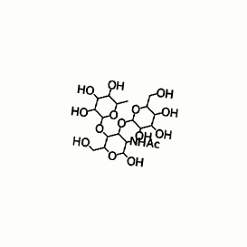 CC(=O)NC1C(O)OC(CO)C(OC2OC(C)C(O)C(O)C2O)C1OC1OC(CO)C(O)C(O)C1O